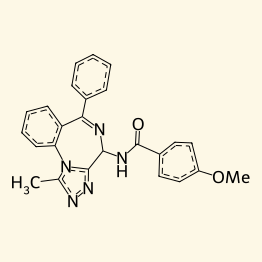 COc1ccc(C(=O)NC2N=C(c3ccccc3)c3ccccc3-n3c(C)nnc32)cc1